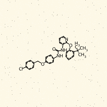 CC(C)(C)c1ccccc1Oc1ncccc1NC(=O)Nc1ccc(OCc2ccc(Cl)cc2)cc1